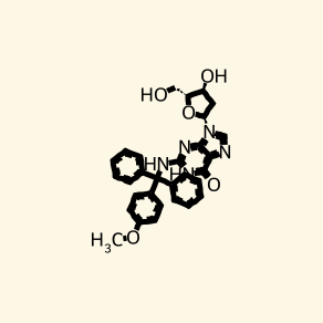 COc1ccc(C(Nc2nc3c(ncn3[C@H]3C[C@H](O)[C@@H](CO)O3)c(=O)[nH]2)(c2ccccc2)c2ccccc2)cc1